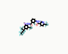 O=C(Nc1cccc(C(=O)Nc2c(I)cc(C(F)(C(F)(F)F)C(F)(F)C(F)(F)F)cc2C(F)(F)F)c1F)c1ccc(C(F)(F)F)nc1